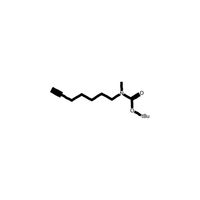 C#CCCCCCN(C)C(=O)OC(C)(C)C